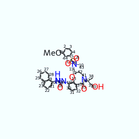 COc1cccc(S(=O)(=O)N(C)C[C@@H]2Oc3c(NC(=O)Nc4cccc5ccccc45)cccc3C(=O)N([C@@H](C)CO)C[C@H]2C)c1